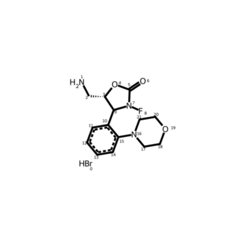 Br.NC[C@@H]1OC(=O)N(F)C1c1ccccc1N1CCOCC1